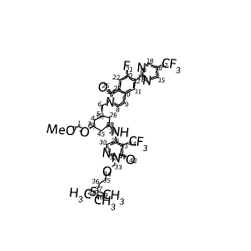 COCO[C@H]1C[C@@H](Cn2ccc3cc(-c4ncc(C(F)(F)F)cn4)c(F)cc3c2=O)C[C@@H](Nc2cnn(COCC[Si](C)(C)C)c(=O)c2C(F)(F)F)C1